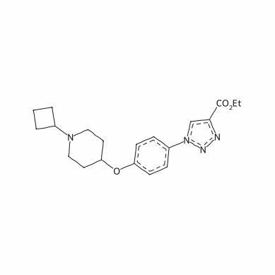 CCOC(=O)c1cn(-c2ccc(OC3CCN(C4CCC4)CC3)cc2)nn1